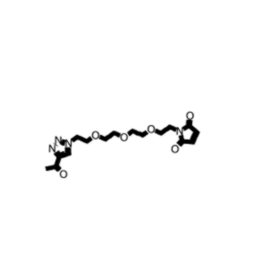 CC(=O)c1cn(CCOCCOCCOCCN2C(=O)C=CC2=O)nn1